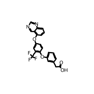 O=C(O)Cc1cccc(Oc2ccc(Oc3cccc4ncncc34)cc2C(F)(F)F)c1